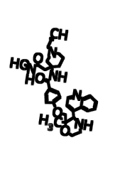 C#CCN1CCCC(CC(=O)NO)(NC(=O)c2ccc(OCC3(C)OCCNC3c3ccnc4ccccc34)cc2)C1